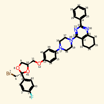 Fc1ccc([C@@]2(CBr)OC[C@@H](COc3ccc(N4CCN(c5nc(-c6ccccc6)nc6c5CCCC6)CC4)cc3)O2)cc1